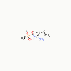 C=CC1CC1(N)NC(=O)P(C)(=O)O